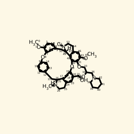 COc1ccc2cc1Oc1ccc(cc1)C[C@H]1c3cc(c(CO)cc3CCN1C)Oc1c(OCC(O)CN3CCCCC3)c(OC)cc3c1[C@H](C2)N(C)CC3